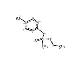 CCOP(C)(=O)Cc1cnc(N)cn1